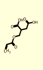 C=CC(=O)OCC(CC(=O)O)C(=O)O